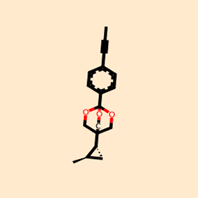 CC#Cc1ccc(C23OCC([C@@H]4C[C@H]4C)(CO2)CO3)cc1